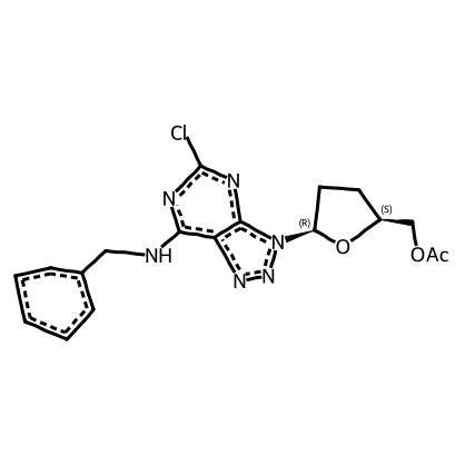 CC(=O)OC[C@@H]1CC[C@H](n2nnc3c(NCc4ccccc4)nc(Cl)nc32)O1